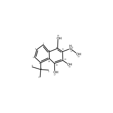 CC(C)(C)c1cccc2c(O)c([SiH2]O)c(O)c(O)c12